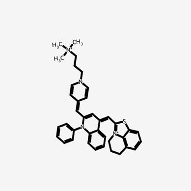 C[N+](C)(C)CCCN1C=CC(=CC2=CC(=Cc3sc4cccc5c4[n+]3CCC5)c3ccccc3N2c2ccccc2)C=C1